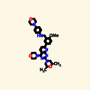 COc1ccc(-c2ccc3c(N4CCOCC4)nc(N4C[C@@H](C)O[C@@H](C)C4)nc3n2)cc1CNc1ccc(N2CCOCC2)cc1